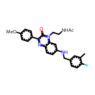 COc1ccc(-c2nc3ccc(NCc4ccc(F)c(C)c4)cc3n(CCNC(C)=O)c2=O)cc1